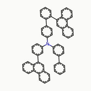 c1ccc(-c2cccc(N(c3ccc(-c4ccccc4-c4cc5ccccc5c5ccccc45)cc3)c3cccc(-c4cc5ccccc5c5ccccc45)c3)c2)cc1